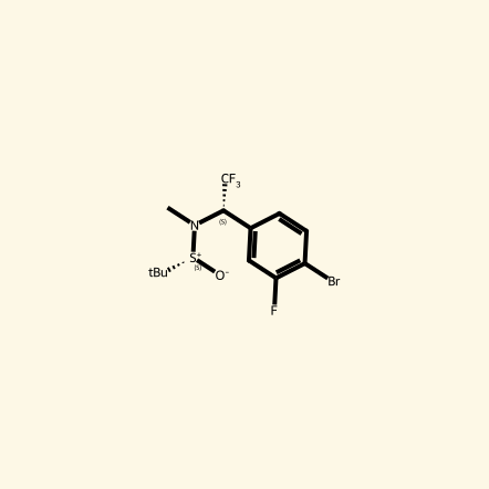 CN([C@@H](c1ccc(Br)c(F)c1)C(F)(F)F)[S@+]([O-])C(C)(C)C